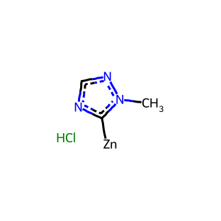 Cl.Cn1ncn[c]1[Zn]